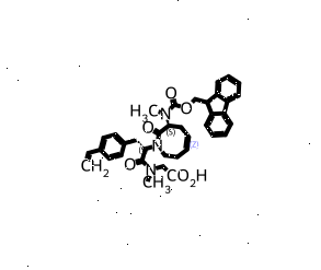 C=Cc1ccc(C[C@@H](C(=O)N(C)CC(=O)O)N2CC/C=C\C[C@H](N(C)C(=O)OCC3c4ccccc4-c4ccccc43)C2=O)cc1